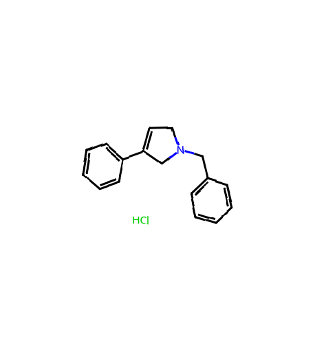 C1=C(c2ccccc2)CN(Cc2ccccc2)C1.Cl